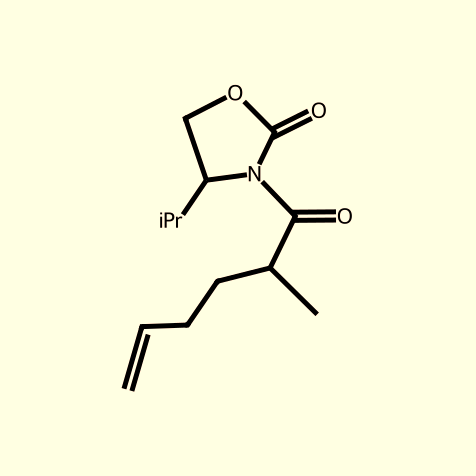 C=CCCC(C)C(=O)N1C(=O)OCC1C(C)C